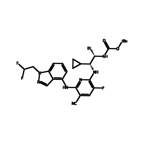 CC[C@H](NC(=O)OC(C)(C)C)[C@H](Nc1nc(Nc2cccc3c2cnn3CC(F)F)c(C#N)cc1F)C1CC1